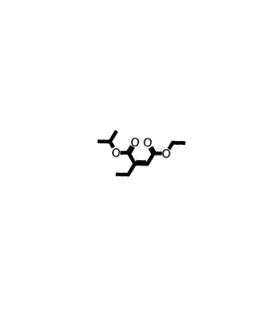 CCOC(=O)/C=C(/CC)C(=O)OC(C)C